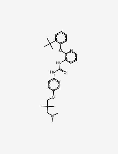 CN(C)CC(C)(C)COc1ccc(NC(=O)Nc2cccnc2Oc2ccccc2C(C)(C)C)cc1